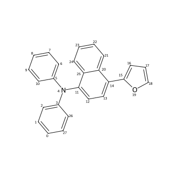 c1ccc(N(c2ccccc2)c2ccc(-c3ccco3)c3ccccc23)cc1